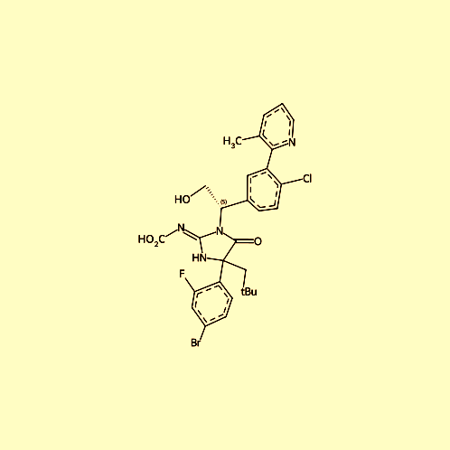 Cc1cccnc1-c1cc([C@@H](CO)N2C(=O)C(CC(C)(C)C)(c3ccc(Br)cc3F)NC2=NC(=O)O)ccc1Cl